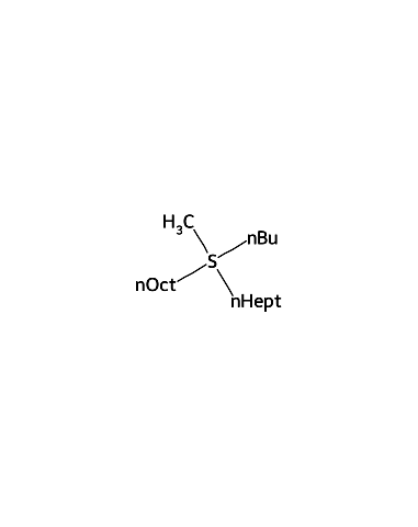 CCCCCCCCS(C)(CCCC)CCCCCCC